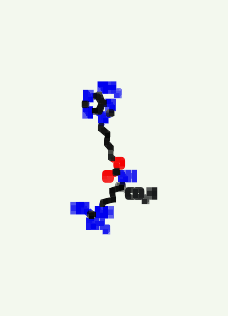 N=C(N)NCCC[C@H](NC(=O)OCCCCCn1cnc2c(N)ncnc21)C(=O)O